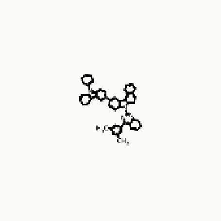 Cc1cc(C)cc(-c2nc(N3C4CC=c5ccccc5=C4C4C=C(c5ccc6c(c5)c5c(n6C6=CC=CCC6)C=CCC5)C=CC43)nc3c2C=CCC3)c1